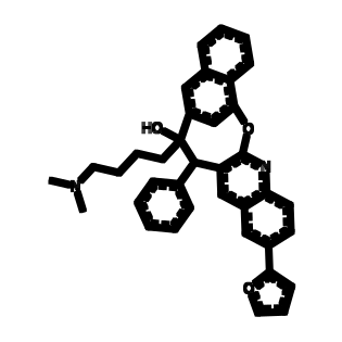 CN(C)CCCCC1(O)c2cc(c3ccccc3c2)Oc2nc3ccc(-c4ccco4)cc3cc2C1c1ccccc1